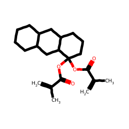 C=C(C)C(=O)OC1(OC(=O)C(=C)C)CCCC2CC3CCCCC3CC21